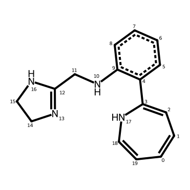 C1=CC=C(c2ccccc2NCC2=NCCN2)NC=C1